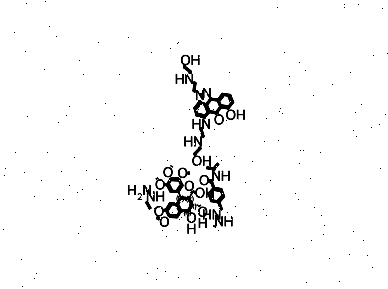 CCNN.CNNCc1ccc(C(=O)NC(C)C)cc1.COc1cc([C@@H]2c3cc4c(cc3[C@H](O)[C@@H](CO)[C@@H]2C(=O)O)OCO4)cc(OC)c1OC.O=C1c2c(O)cccc2-c2nn(CCNCCO)c3ccc(NCCNCCO)c1c23